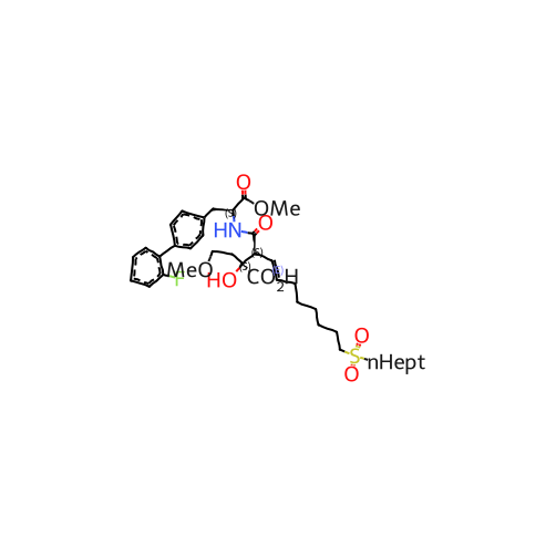 CCCCCCCS(=O)(=O)CCCCCC/C=C/[C@H](C(=O)N[C@@H](Cc1ccc(-c2ccccc2F)cc1)C(=O)OC)[C@@](O)(CCOC)C(=O)O